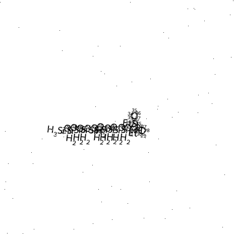 CC[SiH](O[SiH2]O[SiH2]O[SiH2]O[SiH2]O[SiH2]O[SiH2]O[SiH2]O[SiH2]O[SiH2]O[SiH3])O[Si](CC)(Cc1ccccc1)c1ccccc1